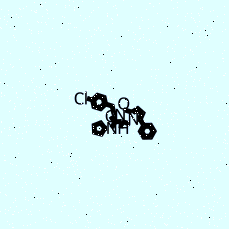 CC1(C(=O)NC2CCCC2)Cn2c(ccc2-c2ccccc2)C(=O)N1CCc1ccc(Cl)cc1